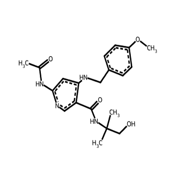 COc1ccc(CNc2cc(NC(C)=O)ncc2C(=O)NC(C)(C)CO)cc1